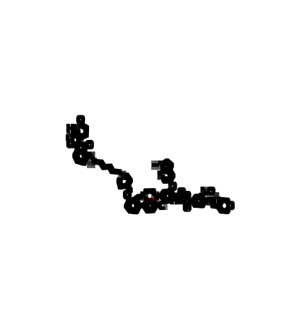 O=C1CCC(N2C(=O)c3cccc(NCCCCCCN4CCC(COc5cccc(-c6ccc(Cl)cc6)c5CN5CCN(c6ccc(C(=O)NS(=O)(=O)c7ccc(NCC8CCOCC8)c([N+](=O)[O-])c7)c(Oc7cnc8[nH]ccc8c7)c6)CC5)CC4)c3C2=O)C(=O)N1